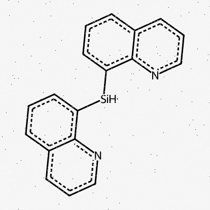 c1cnc2c([SiH]c3cccc4cccnc34)cccc2c1